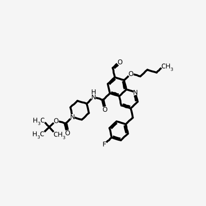 CCCCOc1c(C=O)cc(C(=O)NC2CCN(C(=O)OC(C)(C)C)CC2)c2cc(Cc3ccc(F)cc3)cnc12